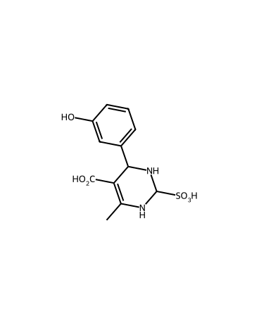 CC1=C(C(=O)O)C(c2cccc(O)c2)NC(S(=O)(=O)O)N1